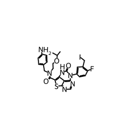 CC(C)OCCN(Cc1ccc(N)cc1)C(=O)c1sc2ncnc3c2c1NC(=O)N3c1ccc(F)c(CI)c1